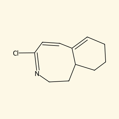 ClC1=N/CCC2CCCC=C2/C=C\1